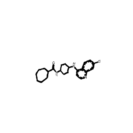 O=C(NC1CCC(Nc2ccnc3cc(Cl)ccc23)CC1)C1CCCCCC1